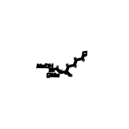 CO[SiH](CCC(C)CCCCCl)OC